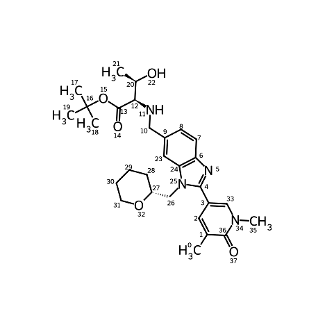 Cc1cc(-c2nc3ccc(CN[C@@H](C(=O)OC(C)(C)C)[C@@H](C)O)cc3n2C[C@H]2CCCCO2)cn(C)c1=O